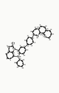 CCc1nc2cccc3c2n1-c1cc(-c2ccc(-c4ccc5ccc6cccnc6c5n4)cc2)ccc1N3c1ccccc1